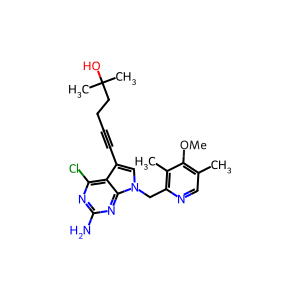 COc1c(C)cnc(Cn2cc(C#CCCC(C)(C)O)c3c(Cl)nc(N)nc32)c1C